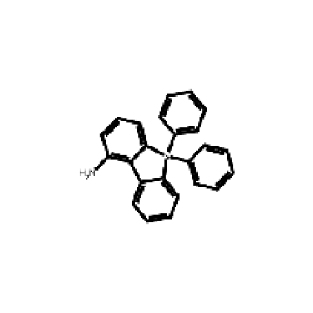 Nc1cccc2c1-c1ccccc1S2(c1ccccc1)c1ccccc1